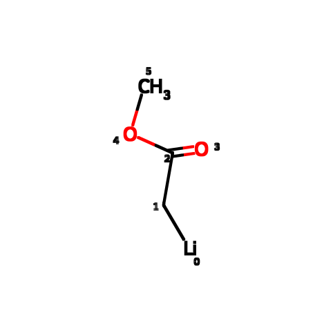 [Li][CH2]C(=O)OC